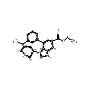 CCOC(=O)c1cc(-c2cccc(CO)c2)c2c(c1)ncn2-c1ccccc1